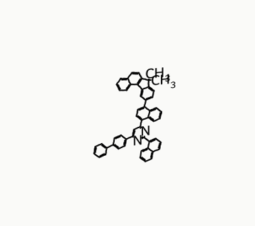 CC1(C)c2ccc(-c3ccc(-c4cc(-c5ccc(-c6ccccc6)cc5)nc(-c5cccc6ccccc56)n4)c4ccccc34)cc2-c2c1ccc1ccccc21